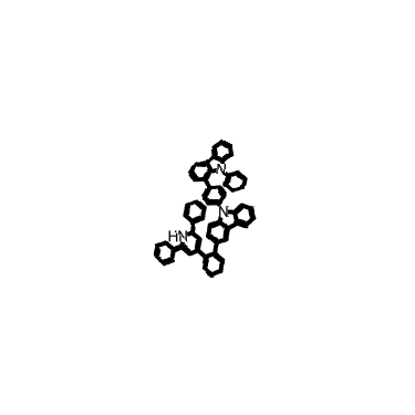 C1=CCC(C2=CC(C3=CCCC=C3c3ccc4c(c3)c3ccccc3n4-c3ccc(-c4cccc5c6ccccc6n(C6=CCCC=C6)c45)cc3)=CC(c3ccccc3)N2)C=C1